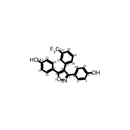 Oc1ccc(-c2noc(-c3ccc(O)cc3)c2-c2cccc(C(F)(F)F)c2)cc1